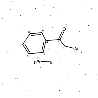 CC(=O)CC(=O)c1ccccc1.CCCC